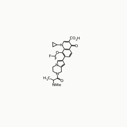 CNC(C)C(=O)N1CCn2cc(-c3ccc4c(=O)c(C(=O)O)cn(C5CC5)c4c3OC(F)F)cc2C1